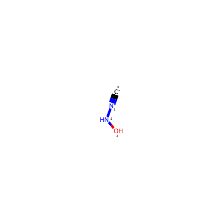 [C-]#[N+]NO